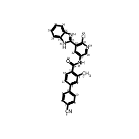 Cc1cc(-c2ccc(C#N)cc2)ccc1C(=O)Nc1cnc(Cl)c(-c2nc3ccccc3[nH]2)c1